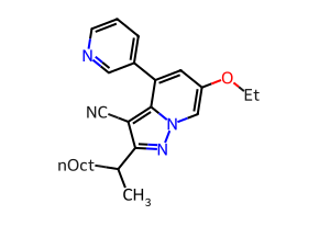 CCCCCCCCC(C)c1nn2cc(OCC)cc(-c3cccnc3)c2c1C#N